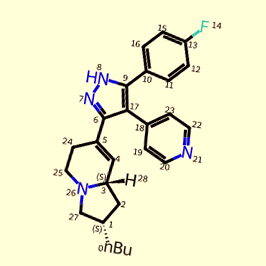 CCCC[C@H]1C[C@H]2C=C(c3n[nH]c(-c4ccc(F)cc4)c3-c3ccncc3)CCN2C1